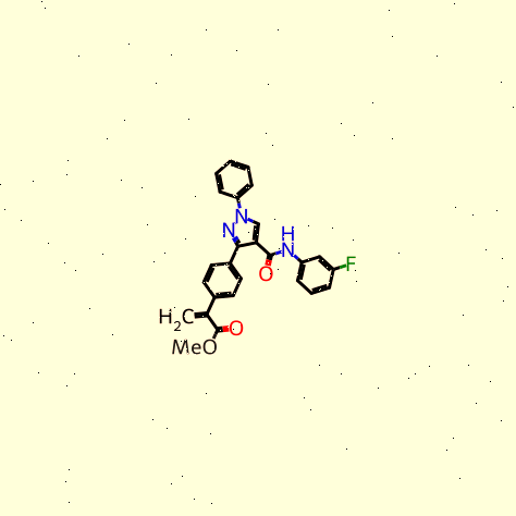 C=C(C(=O)OC)c1ccc(-c2nn(-c3ccccc3)cc2C(=O)Nc2cccc(F)c2)cc1